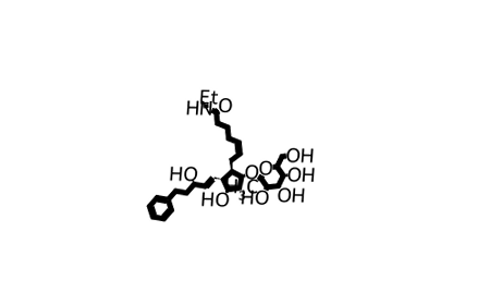 CCNC(=O)CCC/C=C\C[C@@H]1[C@@H](/C=C/[C@@H](O)CCc2ccccc2)[C@H](O)C[C@@H]1O[C@@]1(C)OC(CO)[C@@H](O)[C@@H](O)C1O